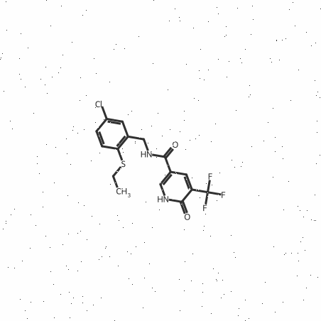 CCSc1ccc(Cl)cc1CNC(=O)c1c[nH]c(=O)c(C(F)(F)F)c1